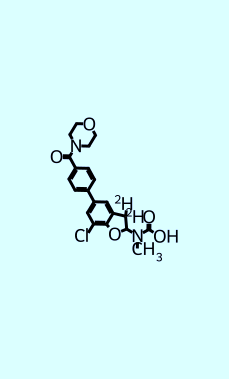 [2H]C1([2H])c2cc(-c3ccc(C(=O)N4CCOCC4)cc3)cc(Cl)c2OC1N(C)C(=O)O